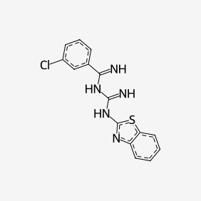 N=C(NC(=N)c1cccc(Cl)c1)Nc1nc2ccccc2s1